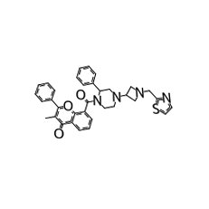 Cc1c(-c2ccccc2)oc2c(C(=O)N3CCN(C4CN(Cc5nccs5)C4)CC3c3ccccc3)cccc2c1=O